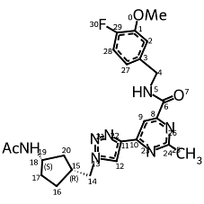 COc1cc(CNC(=O)c2cc(-c3cn(C[C@@H]4CC[C@H](NC(C)=O)C4)nn3)nc(C)n2)ccc1F